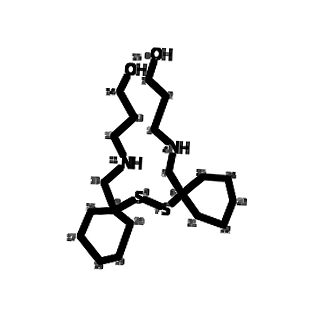 OCCCNCC1(SSC2(CNCCCO)CCCCC2)CCCCC1